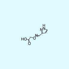 O=C(O)CO/N=C/c1cc[nH]n1